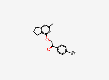 Cc1cc2c(c(OCC(=O)c3ccc(C(C)C)cc3)c1)CCC2